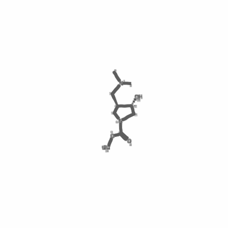 CN(C)C[C@@H]1CN(C(=O)OC(C)(C)C)C[C@H]1O